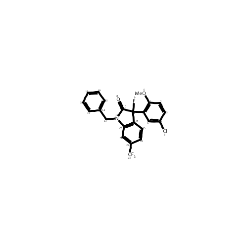 COc1ccc(Cl)cc1C1(F)C(=O)N(Cc2ccccc2)c2cc(C(F)(F)F)ccc21